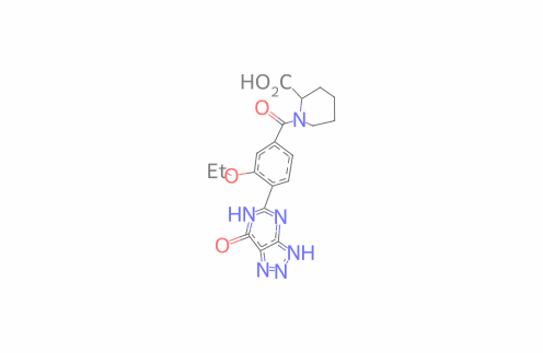 CCOc1cc(C(=O)N2CCCCC2C(=O)O)ccc1-c1nc2[nH]nnc2c(=O)[nH]1